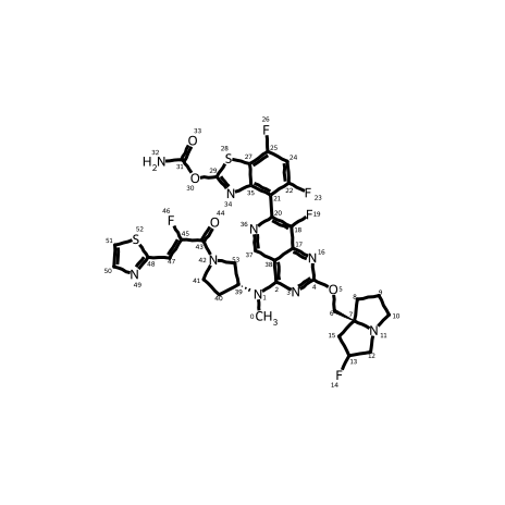 CN(c1nc(OC[C@@]23CCCN2CC(F)C3)nc2c(F)c(-c3c(F)cc(F)c4sc(OC(N)=O)nc34)ncc12)[C@@H]1CCN(C(=O)/C(F)=C/c2nccs2)C1